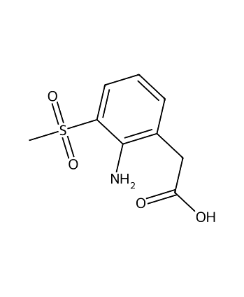 CS(=O)(=O)c1cccc(CC(=O)O)c1N